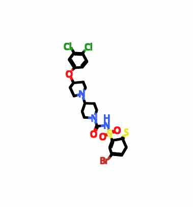 O=C(NS(=O)(=O)C1=CC(Br)=CCC1=S)N1CCC(N2CCC(Oc3ccc(Cl)c(Cl)c3)CC2)CC1